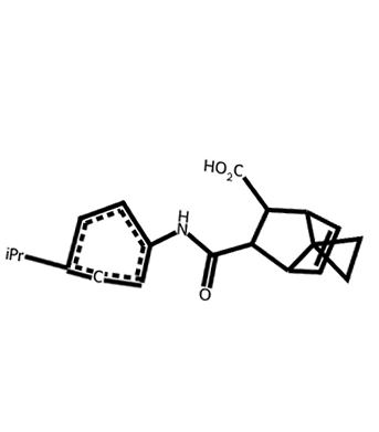 CC(C)c1ccc(NC(=O)C2C(C(=O)O)C3C=CC2C32CC2)cc1